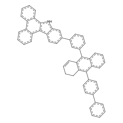 C1=Cc2c(c(-c3ccc(-c4ccccc4)cc3)c3ccccc3c2-c2cccc(-c3ccc4c(c3)[nH]c3c5ccccc5c5ccccc5c43)c2)CC1